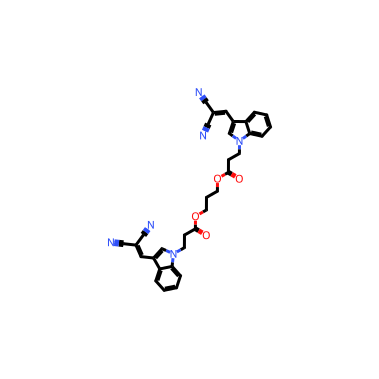 N#CC(C#N)=Cc1cn(CCC(=O)OCCCOC(=O)CCn2cc(C=C(C#N)C#N)c3ccccc32)c2ccccc12